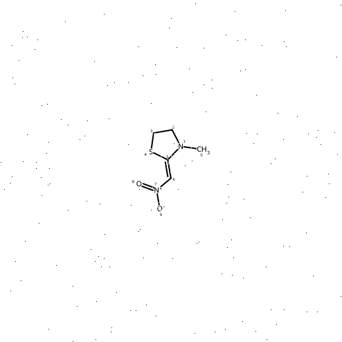 CN1CCSC1=C[N+](=O)[O-]